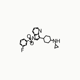 O=S(=O)(c1cccc(F)c1)n1cc(C2CCC(NC3CC3)CC2)c2ncccc21